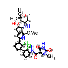 COc1nc(-c2cccc(-c3cccc(NC(=O)c4cn(C)c(=O)[nH]c4=O)c3Cl)c2Cl)cc2c1C(NC1CCOC(C)(C)C1)C(O)C2